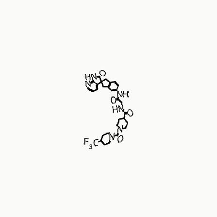 O=C(CNC(=O)C1CCN(C(=O)N2CCC(C(F)(F)F)CC2)CC1)Nc1ccc2c(c1)CC1(C2)C(=O)Nc2ncccc21